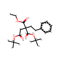 CCOC(=O)C(CCc1ccccc1)(CC(=O)OC(C)(C)C)C(=O)OC(C)(C)C